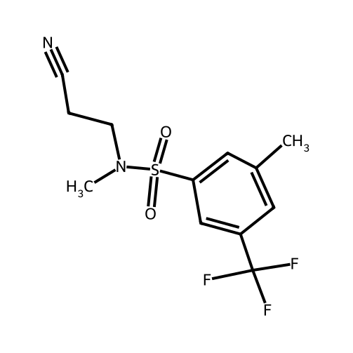 Cc1cc(C(F)(F)F)cc(S(=O)(=O)N(C)CCC#N)c1